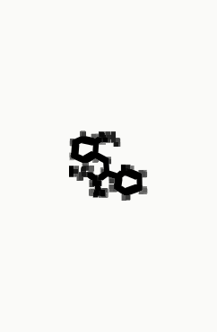 CC(=O)N(C)C(Cc1ccccc1N)c1ccccn1